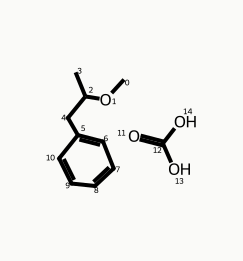 COC(C)Cc1ccccc1.O=C(O)O